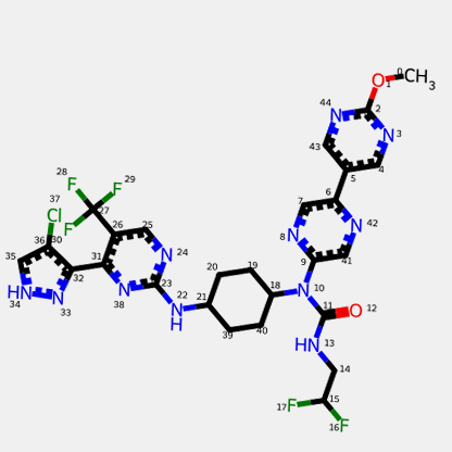 COc1ncc(-c2cnc(N(C(=O)NCC(F)F)C3CCC(Nc4ncc(C(F)(F)F)c(-c5n[nH]cc5Cl)n4)CC3)cn2)cn1